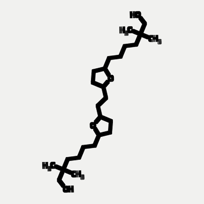 CC(C)(CO)CCCCC1CCC(CCC2CCC(CCCCC(C)(C)CO)O2)O1